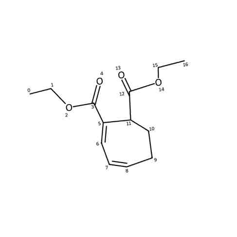 CCOC(=O)C1=CC=CCCC1C(=O)OCC